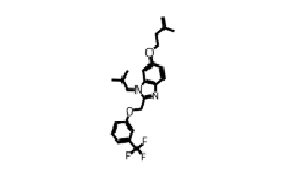 CC(C)CCOc1ccc2nc(COc3cccc(C(F)(F)F)c3)n(CC(C)C)c2c1